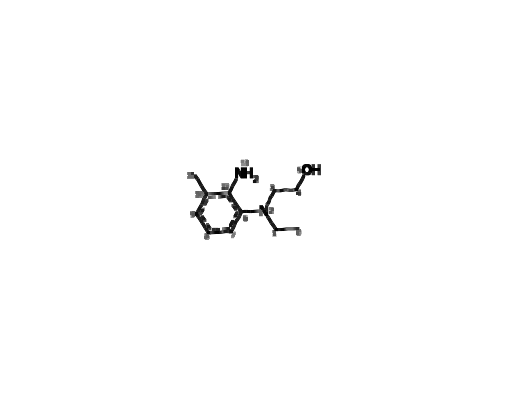 CCN(CCO)c1cccc(C)c1N